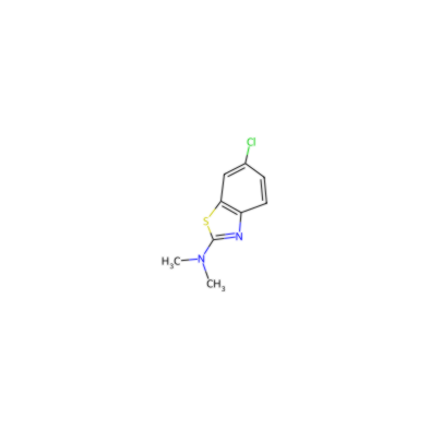 CN(C)c1nc2ccc(Cl)cc2s1